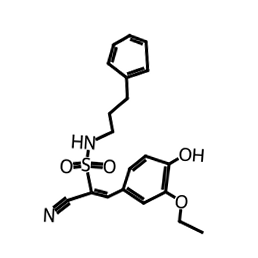 CCOc1cc(C=C(C#N)S(=O)(=O)NCCCc2ccccc2)ccc1O